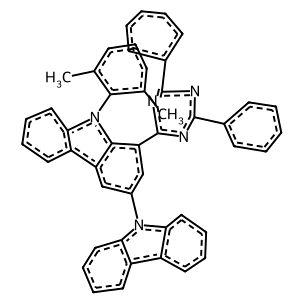 Cc1cccc(C)c1-n1c2ccccc2c2cc(-n3c4ccccc4c4ccccc43)cc(-c3nc(-c4ccccc4)nc(-c4ccccc4)n3)c21